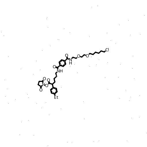 CCc1ccc(C(CCCCNC(=O)c2ccc(C(=O)NCCOCCOCCCCCCCl)cc2)C(=O)ON2C(=O)CCC2=O)cc1